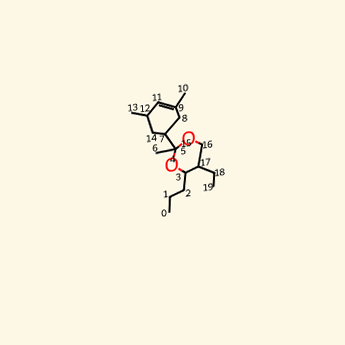 CCCC1OC(C)(C2CC(C)=CC(C)C2)OCC1CC